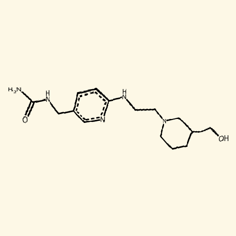 NC(=O)NCc1ccc(NCCN2CCCC(CO)C2)nc1